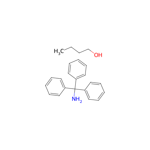 CCCCO.NC(c1ccccc1)(c1ccccc1)c1ccccc1